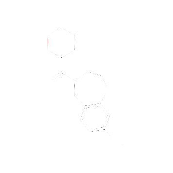 C[C@H]1c2ccc(C(=O)O)cc2OCCN1C(=O)[C@H]1CCCOC1